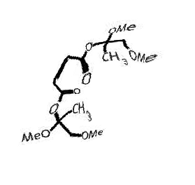 COCC(C)(OC)OC(=O)/C=C\C(=O)OC(C)(COC)OC